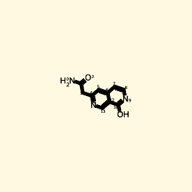 NC(=O)Cc1cc2ccnc(O)c2cn1